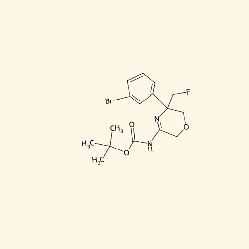 CC(C)(C)OC(=O)NC1=NC(CF)(c2cccc(Br)c2)COC1